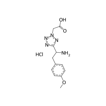 COc1ccc(CC(N)c2nnn(CC(=O)O)n2)cc1.Cl